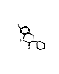 [NH]c1ccc2c(c1)NC(=O)C(N1CCCCC1)C2